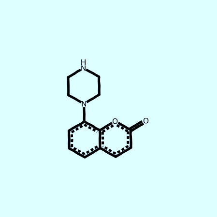 O=c1ccc2cccc(N3CCNCC3)c2o1